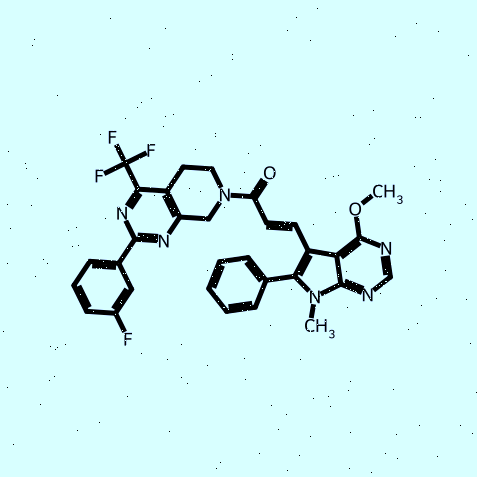 COc1ncnc2c1c(/C=C/C(=O)N1CCc3c(nc(-c4cccc(F)c4)nc3C(F)(F)F)C1)c(-c1ccccc1)n2C